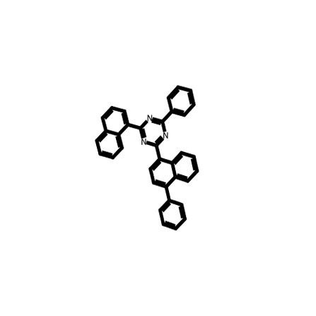 c1ccc(-c2nc(-c3cccc4ccccc34)nc(-c3ccc(-c4ccccc4)c4ccccc34)n2)cc1